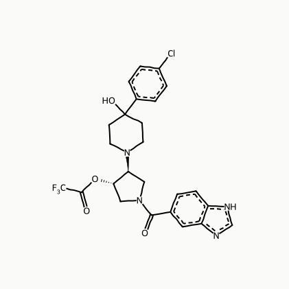 O=C(c1ccc2[nH]cnc2c1)N1C[C@H](OC(=O)C(F)(F)F)[C@@H](N2CCC(O)(c3ccc(Cl)cc3)CC2)C1